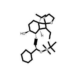 CCC1[C@H]2[C@H](C#C[C@@H](O[Si](C)(C)C(C)(C)C)C3CCCCC3)[C@@H](O)CC[C@@]2(C(C)C)C12OCCO2